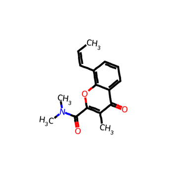 C/C=C\c1cccc2c(=O)c(C)c(C(=O)N(C)C)oc12